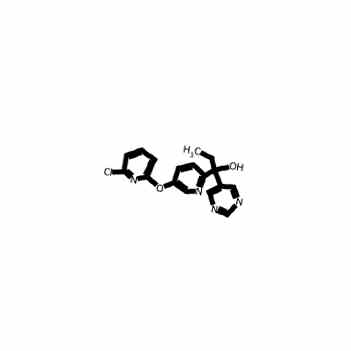 CCC(O)(c1cncnc1)c1ccc(Oc2cccc(Cl)n2)cn1